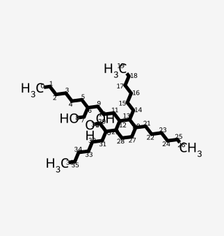 CCCCCCC(CO)CCCC1C(CCCCCC)C(CCCCCC)CCC1C(CCCCCC)C(O)O